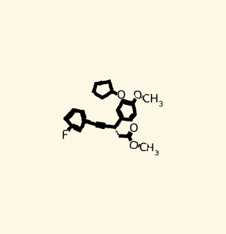 COC(=O)C[C@H](C#Cc1cccc(F)c1)c1ccc(OC)c(OC2CCCC2)c1